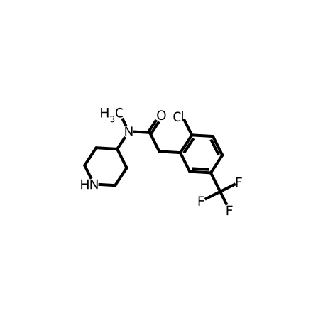 CN(C(=O)Cc1cc(C(F)(F)F)ccc1Cl)C1CCNCC1